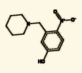 O=[N+]([O-])c1ccc(O)cc1CN1CCCCC1